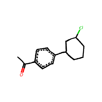 CC(=O)c1ccc(C2CCCC(Cl)C2)cc1